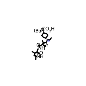 C/C=C(/c1scc(C(=O)NCc2c(C)cc(C)[nH]c2=O)c1C)[C@H]1CC[C@H](N(C(=O)O)C(C)(C)C)CC1